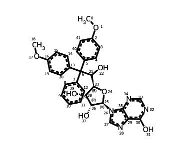 COc1ccc(C(c2ccccc2)(c2ccc(OC)cc2)C(O)[C@H]2O[C@@H](n3cnc4c(O)ncnc43)[C@H](O)[C@@H]2O)cc1